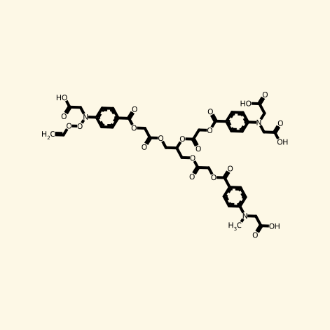 C=COON(CC(=O)O)c1ccc(C(=O)OCC(=O)OCC(COC(=O)COC(=O)c2ccc(N(C)CC(=O)O)cc2)OC(=O)COC(=O)c2ccc(N(CC(=O)O)CC(=O)O)cc2)cc1